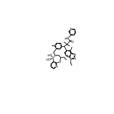 CCC1CN(Cc2cc(C(c3ccc4c(nnn4CC)c3C)C(C)(C)C(=O)Nc3cccnc3)ccc2C)S(O)(O)c2cccnc2O1